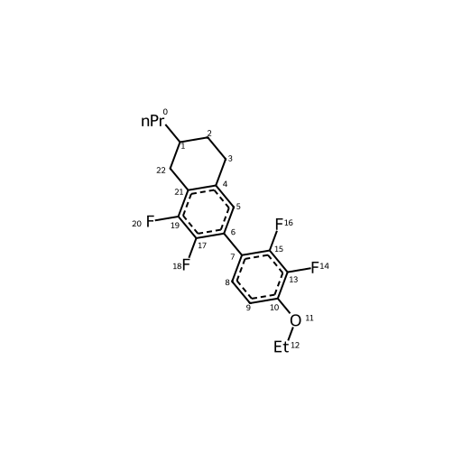 CCCC1CCc2cc(-c3ccc(OCC)c(F)c3F)c(F)c(F)c2C1